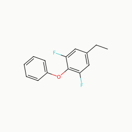 CCc1cc(F)c(Oc2ccccc2)c(F)c1